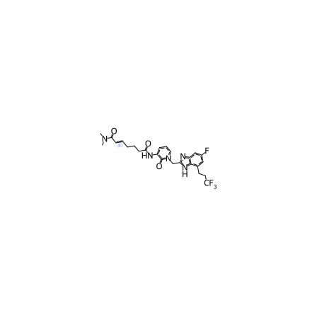 CN(C)C(=O)/C=C/CCCC(=O)Nc1cccn(Cc2nc3cc(F)cc(CCC(F)(F)F)c3[nH]2)c1=O